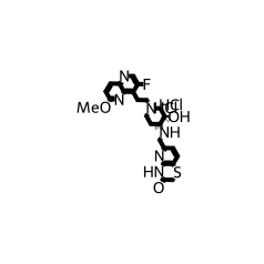 COc1ccc2ncc(F)c(CCN3CC[C@@H](NCc4ccc5c(n4)NC(=O)CS5)[C@H](O)C3)c2n1.Cl.Cl